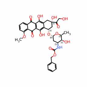 COc1cccc2c1C(=O)c1c(O)c3c(c(O)c1C2=O)C[C@@](O)(C(=O)CO)C[C@@H]3O[C@H]1C[C@H](NC(=O)OCc2ccccc2)[C@H](O)[C@H](C)O1